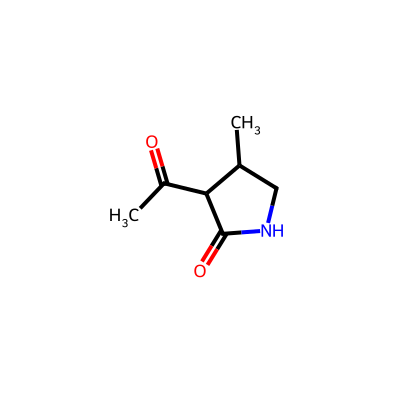 CC(=O)C1C(=O)NCC1C